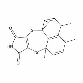 CC1C=CC2(C)SC3=C(SC4(C)C=CC(C)C1=C24)C(=O)NC3=O